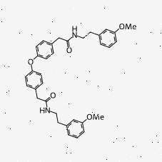 COc1cccc(CCNC(=O)Cc2ccc(Oc3ccc(CC(=O)NCCc4cccc(OC)c4)cc3)cc2)c1